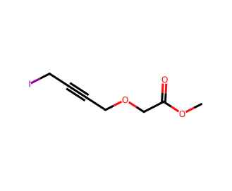 COC(=O)COCC#CCI